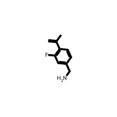 C=C(C)c1ccc(CN)cc1F